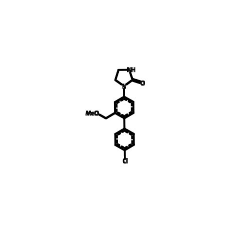 COCc1cc(N2CCNC2=O)ccc1-c1ccc(Cl)cc1